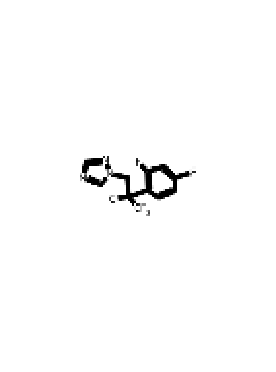 Fc1ccc(C(Cl)(Cn2cncn2)C(F)(F)F)c(F)c1